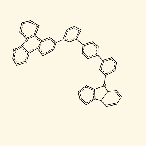 C1=CC2c3ccccc3N(c3cccc(-c4ccc(-c5cccc(-c6ccc7c(c6)c6ccccc6c6nccnc76)c5)cc4)c3)C2C=C1